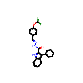 O=C(NN=Cc1ccc(OC(F)F)cc1)c1[nH]c2ccccc2c1-c1ccccc1